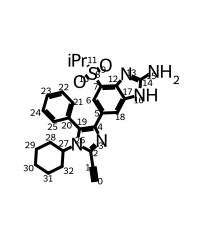 C#Cc1nc(-c2cc(S(=O)(=O)C(C)C)c3nc(N)[nH]c3c2)c(-c2ccccc2)n1C1CCCCC1